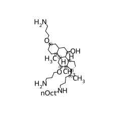 CCCCCCCCNCCC[C@@H](C)[C@H]1CC[C@H]2C3[C@H](O)CC4C[C@H](OCCCN)CC[C@]4(C)[C@H]3C[C@H](OCCCN)[C@]12C